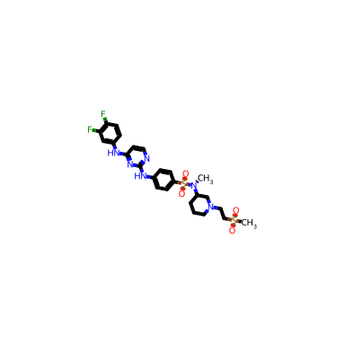 CN(C1CCCN(CCS(C)(=O)=O)C1)S(=O)(=O)c1ccc(Nc2nccc(Nc3ccc(F)c(F)c3)n2)cc1